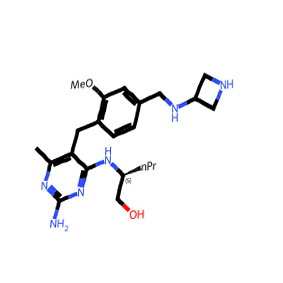 CCC[C@@H](CO)Nc1nc(N)nc(C)c1Cc1ccc(CNC2CNC2)cc1OC